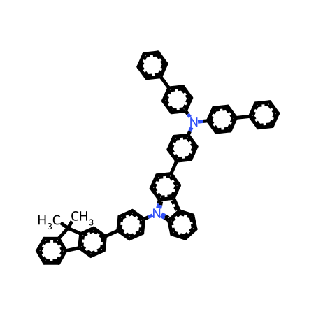 CC1(C)c2ccccc2-c2ccc(-c3ccc(-n4c5ccccc5c5cc(-c6ccc(N(c7ccc(-c8ccccc8)cc7)c7ccc(-c8ccccc8)cc7)cc6)ccc54)cc3)cc21